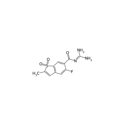 CC1=Cc2cc(F)c(C(=O)N=C(N)N)cc2S1(=O)=O